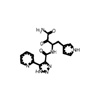 NC(=O)C(=O)C(Cc1cc[nH]c1)NC(=O)c1nn[nH]c1-c1ccccn1